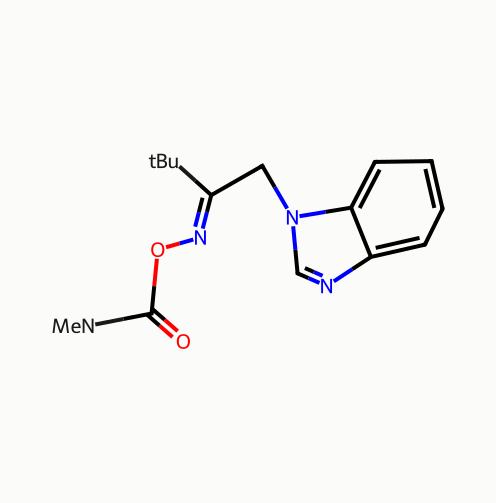 CNC(=O)ON=C(Cn1cnc2ccccc21)C(C)(C)C